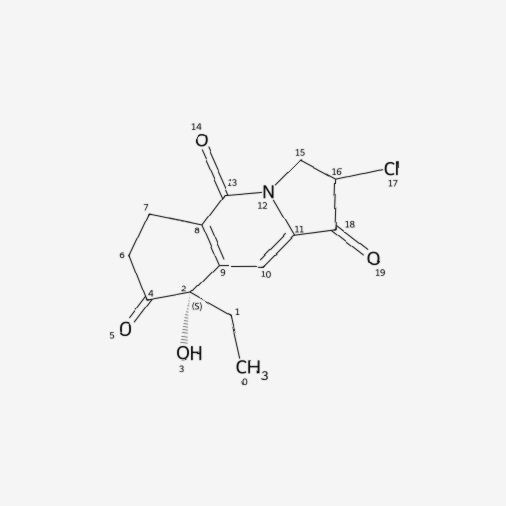 CC[C@@]1(O)C(=O)CCc2c1cc1n(c2=O)CC(Cl)C1=O